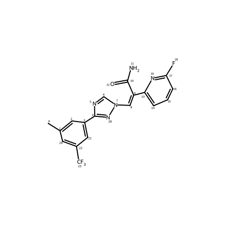 Cc1cc(-c2ncn(/C=C(\C(N)=O)c3cccc(F)n3)n2)cc(C(F)(F)F)c1